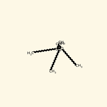 CCCCCCCCCCCCCCCCCCOc1cc(C(=O)NC)cc(OCCCCCCCCCCCCCCCCCC)c1OCCCCCCCCCCCCCCCCCC